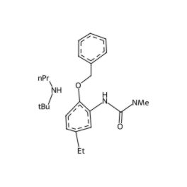 CCCNC(C)(C)C.CCc1ccc(OCc2ccccc2)c(NC(=O)NC)c1